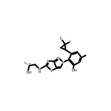 Cc1cc(O)c(-n2cc3sc(NC[C@@H](C)O)nc3n2)c(C2CC2(F)F)c1